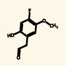 COc1cc(CC=O)c(O)cc1F